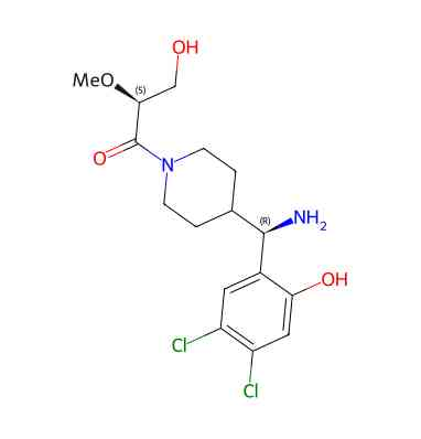 CO[C@@H](CO)C(=O)N1CCC([C@@H](N)c2cc(Cl)c(Cl)cc2O)CC1